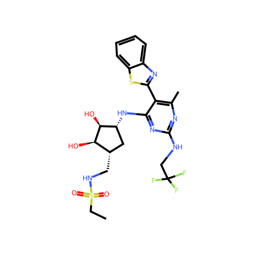 CCS(=O)(=O)NC[C@H]1C[C@@H](Nc2nc(NCC(F)(F)F)nc(C)c2-c2nc3ccccc3s2)[C@H](O)[C@@H]1O